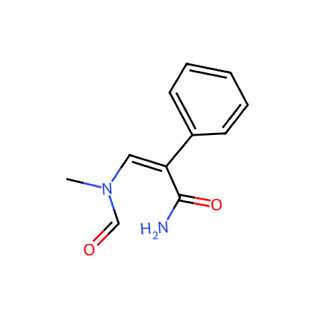 CN(C=O)/C=C(\C(N)=O)c1ccccc1